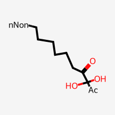 CCCCCCCCCCCCCCCC(=O)C(O)(O)C(C)=O